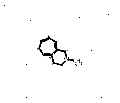 CN1CCC2=CCC=CC=C2C1